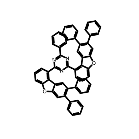 c1ccc(-c2nc(-c3cccc4oc5cc(-c6ccccc6)c(-c6ccccc6)cc5c34)nc(-c3cccc4oc5cc(-c6ccccc6)c(-c6ccccc6)cc5c34)n2)cc1